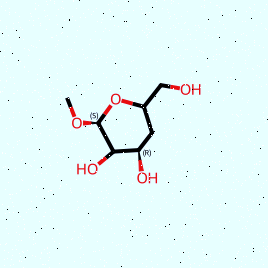 CO[C@H]1OC(CO)C[C@@H](O)C1O